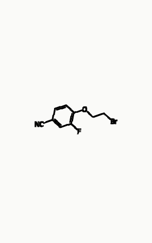 N#Cc1ccc(OCCBr)c(F)c1